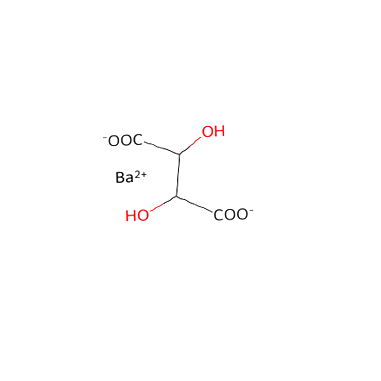 O=C([O-])C(O)C(O)C(=O)[O-].[Ba+2]